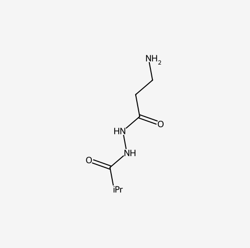 CC(C)C(=O)NNC(=O)CCN